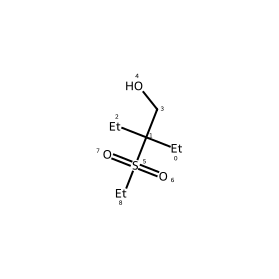 CCC(CC)(CO)S(=O)(=O)CC